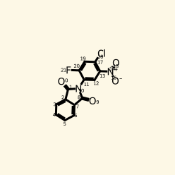 O=C1c2ccccc2C(=O)N1c1cc([N+](=O)[O-])c(Cl)cc1F